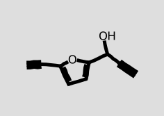 C#Cc1ccc(C(O)C#C)o1